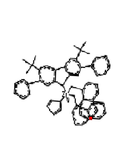 [CH2]=[Zr]([CH2]c1cccc2ccccc12)([CH2]c1cccc2ccccc12)([CH]1C=CC=C1)[CH]1c2cc(-c3ccccc3)c(C(C)(C)C)cc2-c2cc(C(C)(C)C)c(-c3ccccc3)cc21